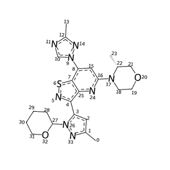 Cc1cc(-c2nsc3c(-n4cnc(C)n4)cc(N4CCOC[C@H]4C)nc23)n(C2CCCCO2)n1